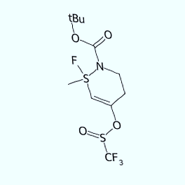 CC(C)(C)OC(=O)N1CCC(OS(=O)C(F)(F)F)=CS1(C)F